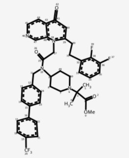 COC(=O)C(C)(C)N1CCC(N(Cc2ccc(-c3ccc(C(F)(F)F)cc3)cc2)C(=O)Cn2c(CCc3cccc(F)c3F)cc(=O)c3ccncc32)CC1